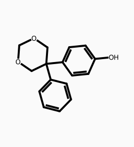 Oc1ccc(C2(c3ccccc3)COCOC2)cc1